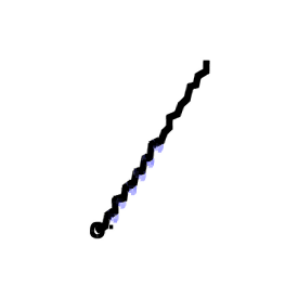 CCCCCCCCCCC/C=C/C=C/C=C/C=C/C=C/C=C/[C]=O